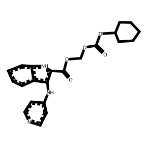 O=C(OCOC(=O)c1[nH]c2ccccc2c1Nc1ccncc1)OC1CCCCC1